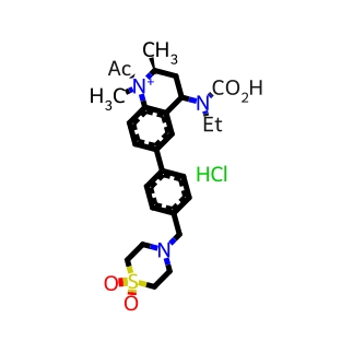 CCN(C(=O)O)C1C[C@H](C)[N@+](C)(C(C)=O)c2ccc(-c3ccc(CN4CCS(=O)(=O)CC4)cc3)cc21.Cl